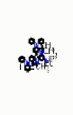 CCN(c1cc2c3c(c1)-n1c(C)c(C)c4c(N(c5ccccc5)c5ccccc5)ccc(c41)B3c1ccc(N(c3ccccc3)c3ccccc3)c3c(C)c(C)n-2c13)C(C)C